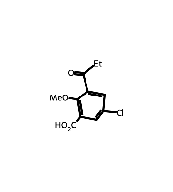 CCC(=O)c1cc(Cl)cc(C(=O)O)c1OC